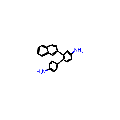 Nc1ccc(-c2ccc(N)cc2-c2ccc3ccccc3c2)cc1